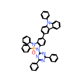 O=P1(c2ccccc2)N(c2ccccc2)c2cc(-c3ccc4c(c3)c3ccccc3n4-c3ccccc3)ccc2N1c1nc(-c2ccccc2)nc(-c2ccccc2)n1